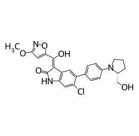 COc1cc(/C(O)=C2\C(=O)Nc3cc(Cl)c(-c4ccc(N5CCC[C@@H]5CO)cc4)cc32)on1